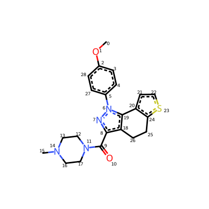 COc1ccc(-n2nc(C(=O)N3CCN(C)CC3)c3c2-c2ccsc2CC3)cc1